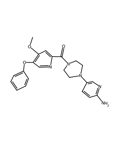 COc1cc(C(=O)N2CCN(c3ccc(N)nc3)CC2)ncc1Oc1ccccc1